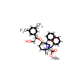 CC(C)(C)OC(=O)[C@@H]1C[C@@]2(c3ccccc3)[C@H](O[C@@H](CO)c3cc(C(F)(F)F)cc(C(F)(F)F)c3)CC[C@@H]1N2Cc1ccccc1